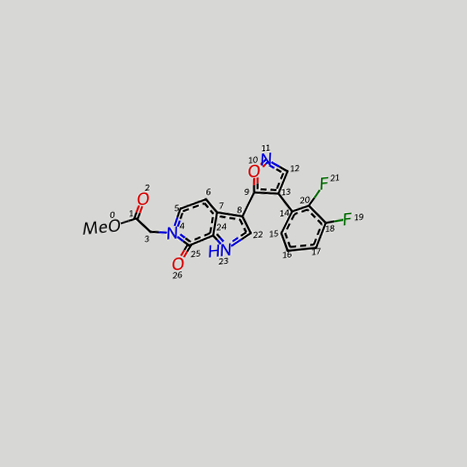 COC(=O)Cn1ccc2c(-c3oncc3-c3cccc(F)c3F)c[nH]c2c1=O